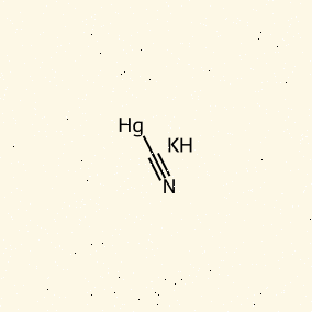 N#[C][Hg].[KH]